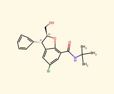 BC(B)(B)NC(=O)c1cc(Br)cc2c1O[C@H](CO)[C@H]2c1ccccc1